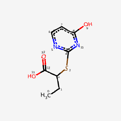 CCC(Sc1nccc(O)n1)C(=O)O